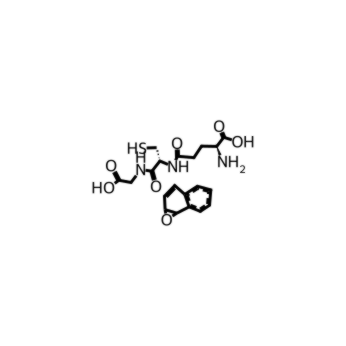 C1=CC2OC2c2ccccc21.N[C@@H](CCC(=O)N[C@@H](CS)C(=O)NCC(=O)O)C(=O)O